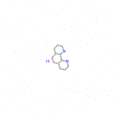 I.c1cnc2c(c1)ccc1cccnc12